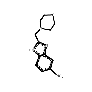 O=[N+]([O-])c1ccc2[nH]c(CN3CCOCC3)nc2c1